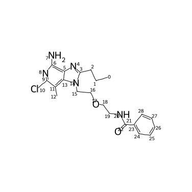 CCCc1nc2c(N)nc(Cl)c(C)c2n1CCOCCNC(=O)c1ccccc1